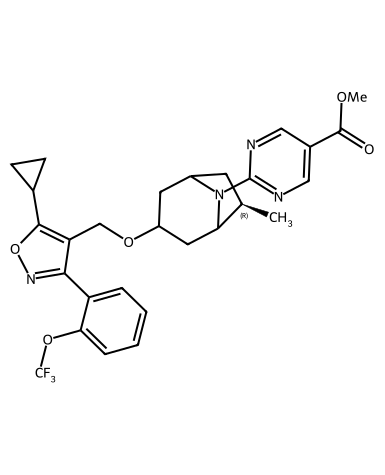 COC(=O)c1cnc(N2C3CC(OCc4c(-c5ccccc5OC(F)(F)F)noc4C4CC4)CC2[C@H](C)C3)nc1